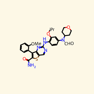 COc1ccccc1-c1c(C(N)=O)sc2cnc(Nc3ccc(N(C=O)C4CCOCC4)cc3OC(C)C)nc12